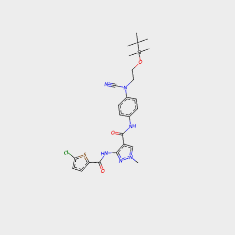 Cn1cc(C(=O)Nc2ccc(N(C#N)CCO[Si](C)(C)C(C)(C)C)cc2)c(NC(=O)c2ccc(Cl)s2)n1